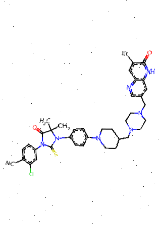 CCc1cc2ncc(CN3CCN(CC4CCN(c5ccc(N6C(=S)N(c7ccc(C#N)c(Cl)c7)C(=O)C6(C)C)cc5)CC4)CC3)cc2[nH]c1=O